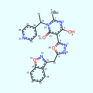 CCCCc1nc(O)c(-c2nnc(Cc3noc4ccccc34)o2)c(=O)n1C(C)c1ccncc1